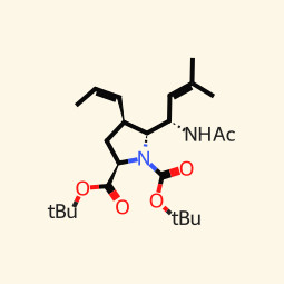 C/C=C\[C@@H]1C[C@H](C(=O)OC(C)(C)C)N(C(=O)OC(C)(C)C)[C@H]1[C@H](C=C(C)C)NC(C)=O